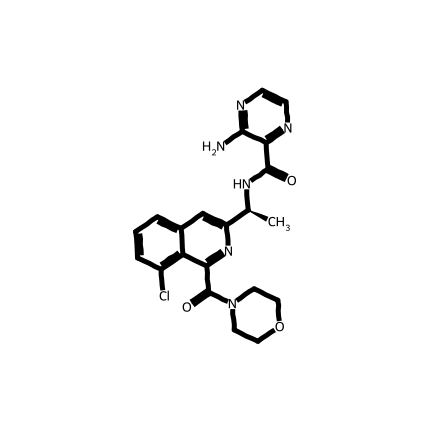 C[C@H](NC(=O)c1nccnc1N)c1cc2cccc(Cl)c2c(C(=O)N2CCOCC2)n1